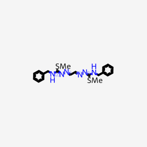 CS\C(=N/N=C/C=N/N=C(/NCc1ccccc1)SC)NCc1ccccc1